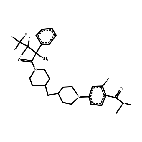 CN(C)C(=O)c1ccc(N2CCC(CC3CCN(C(=O)C(N)(c4ccccc4)C(F)(F)C(F)(F)F)CC3)CC2)cc1Cl